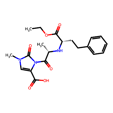 CCOC(=O)[C@H](CCc1ccccc1)N[C@@H](C)C(=O)n1c(C(=O)O)cn(C)c1=O